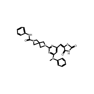 CN(c1ccccc1)c1cc(C=C2SC(=O)NC2=O)nc(N2CC3(CN(C(=O)Nc4ccccc4)C3)C2)n1